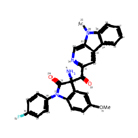 COc1ccc2c(c1)C(N)(C(=O)c1cc3c4ccccc4n(C(C)=O)c3cn1)C(=O)N2c1ccc(F)cc1